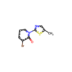 Cc1cnc(-n2cccc(Br)c2=O)s1